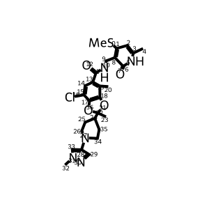 CSc1cc(C)[nH]c(=O)c1CNC(=O)c1cc(Cl)c2c(c1C)OC(C)(C1CCN(c3cnn(C)c3)CC1)O2